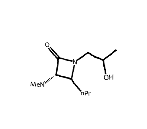 CCCC1[C@H](NC)C(=O)N1CC(C)O